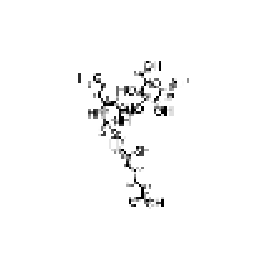 CCCc1cc(=O)[nH]c(=S)[nH]1.O=C(O)CCCCC(S)CCS.OC[C@H]1O[C@H]([S-])[C@H](O)[C@@H](O)[C@@H]1O.[Au+]